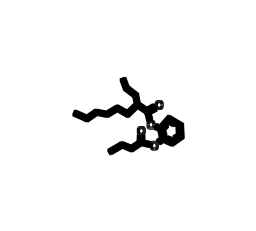 CCCCCCC(CCC)C(=O)Oc1ccccc1OC(=O)CCC